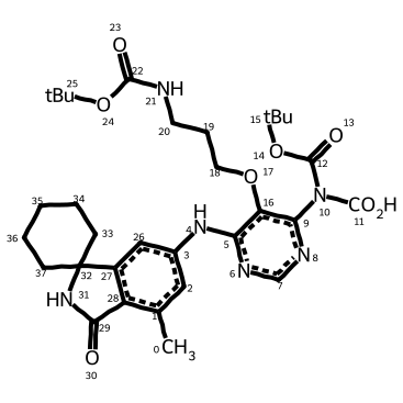 Cc1cc(Nc2ncnc(N(C(=O)O)C(=O)OC(C)(C)C)c2OCCCNC(=O)OC(C)(C)C)cc2c1C(=O)NC21CCCCC1